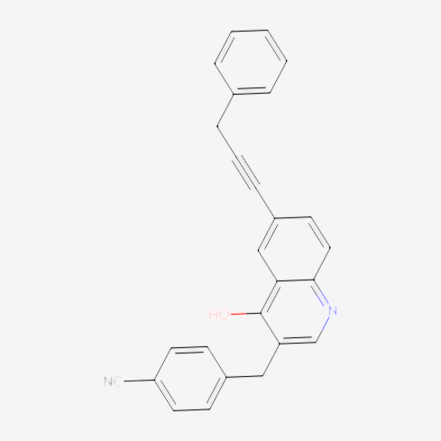 N#Cc1ccc(Cc2cnc3ccc(C#CCc4ccccc4)cc3c2O)cc1